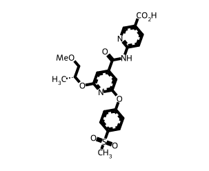 COC[C@@H](C)Oc1cc(C(=O)Nc2ccc(C(=O)O)cn2)cc(Oc2ccc(S(C)(=O)=O)cc2)n1